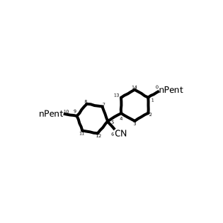 CCCCCC1CCC(C2(C#N)CCC(CCCCC)CC2)CC1